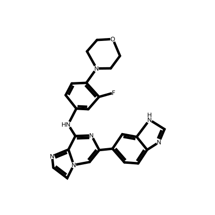 Fc1cc(Nc2nc(-c3ccc4nc[nH]c4c3)cn3ccnc23)ccc1N1CCOCC1